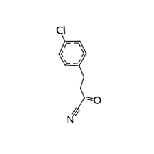 N#CC(=O)CCc1ccc(Cl)cc1